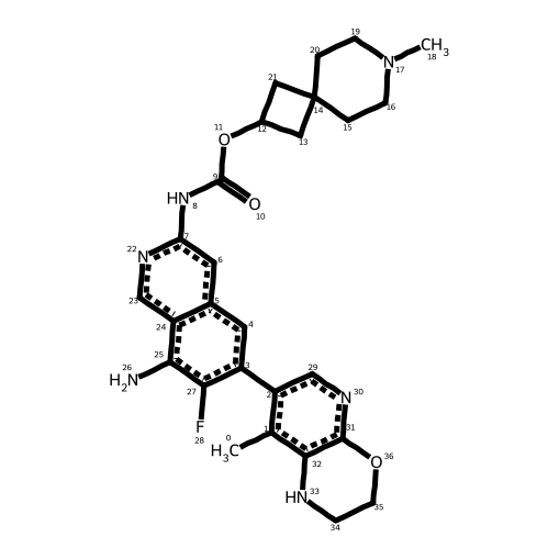 Cc1c(-c2cc3cc(NC(=O)OC4CC5(CCN(C)CC5)C4)ncc3c(N)c2F)cnc2c1NCCO2